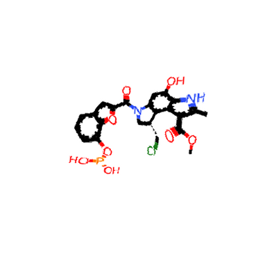 COC(=O)c1c(C)[nH]c2c(O)cc3c(c12)[C@H](CCl)CN3C(=O)c1cc2cccc(OP(O)O)c2o1